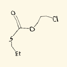 CCSC(=O)OCCl